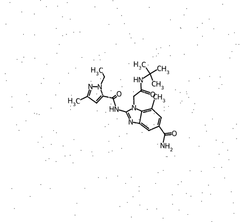 CCn1nc(C)cc1C(=O)Nc1nc2cc(C(N)=O)cc(C)c2n1CC(=O)NC(C)(C)C